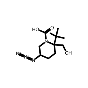 CC(C)(C)C1(CO)CCC(N=[N+]=[N-])CN1C(=O)O